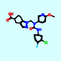 COc1ccc(N(Cn2ncc3c2CCC(C(=O)O)C3)C(=O)Nc2ccc(F)c(Cl)c2)cn1